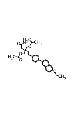 CCOc1ccc2cc(-c3ccc(CCC(COC(C)=O)(COC(C)=O)CC(N)=O)cc3)ccc2c1